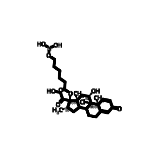 C[C@H]1CC2C3CCC4=CC(=O)C=C[C@]4(C)[C@@]3(Cl)[C@@H](O)C[C@]2(C)[C@@]1(OC(=O)CCCCCON(O)O)C(=O)CO